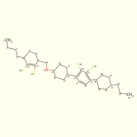 CCCCC1CCC(COC2CCC(c3ccc(C4CCC(CCC)CC4)c(F)c3F)CC2)C(F)=C1F